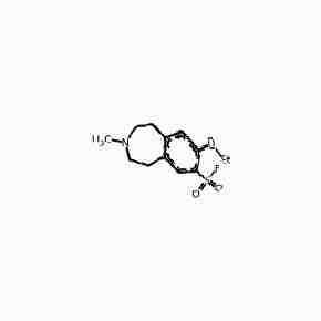 CCOc1cc2c(cc1S(=O)(=O)F)CCN(C)CC2